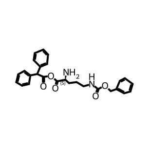 N[C@@H](CCCNC(=O)OCc1ccccc1)C(=O)OC(=O)C(c1ccccc1)c1ccccc1